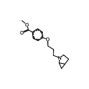 COC(=O)c1ccc(OCCCN2CCC3CC32)cc1